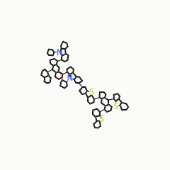 c1ccc(-n2c3ccccc3c3cccc(-c4cccc5c(-c6cccc7ccccc67)c6cccc(-c7cccc8c9ccc(-c%10ccc%11c(c%10)sc%10c(-c%12cccc%13c(-c%14cccc%15c%14sc%14ccccc%14%15)c%14cccc(-c%15cccc%16c%15sc%15ccccc%15%16)c%14cc%12%13)cccc%10%11)cc9n(-c9ccccc9)c78)c6cc45)c32)cc1